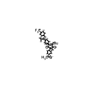 C[S+]([O-])c1ccc2c(c1)CN(C(=O)OC(C)(C)C)C2C(=O)Nc1ccc(N(Cc2ccc(C(F)(F)F)cc2)C2CC2)cn1